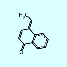 C/C=C1\C=CC(=O)c2ccccc21